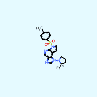 CC[C@@H]1CCCN1n1cnc2cnc3c(ccn3S(=O)(=O)c3ccc(C)cc3)c21